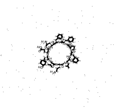 CC(C)C[C@@H]1NC(=O)[C@H](CCCN)NC(=O)[C@H](C(C)C)NC(=O)[C@H](Cc2ccc(O)cc2)N[C@@H](CCC(=O)O)C(=O)N[C@@H](CC(N)=O)C(=O)[C@@H](Cc2ccccc2)NC(=O)[C@H](Cc2ccccc2)NC(=O)[C@@H]2CCCN2C(=O)[C@@H](Cc2ccccc2)NC1=O